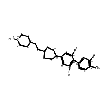 CCC[SiH]1CCC(CCC2CCC(c3cc(F)c(-c4ccc(Cl)c(F)c4)c(F)c3)CC2)CC1